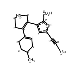 CC1CC=C(C2=C(c3cc(C#CC(C)(C)C)sc3C(=O)O)CNCC2)CC1